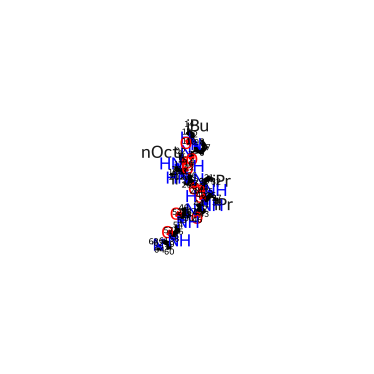 CCCCCCCC[C@H](NC(=O)[C@@H]1CCCN1C(=O)/C=C/[C@@H](C)CC)C(=O)N[C@@H](CC(C)C)C(=O)NC(C)(C)C(=O)NC(CC(C)C)C(=O)N[C@@H](CC(C)C)C(=O)NC(C)(C)C(=O)NC(C)(C)C(=O)NCCC(=O)NC(C)CN(C)C